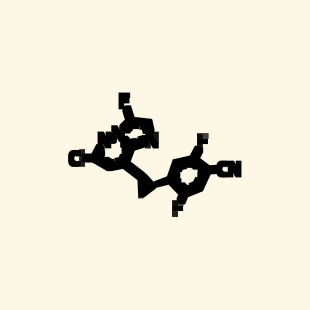 N#Cc1cc(F)c([C@H]2CC2c2cc(Cl)nn3c(F)cnc23)cc1F